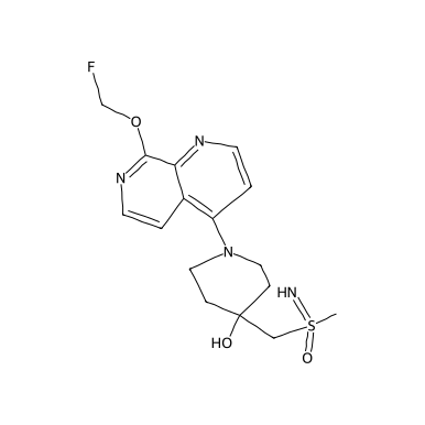 CS(=N)(=O)CC1(O)CCN(c2ccnc3c(OCF)nccc23)CC1